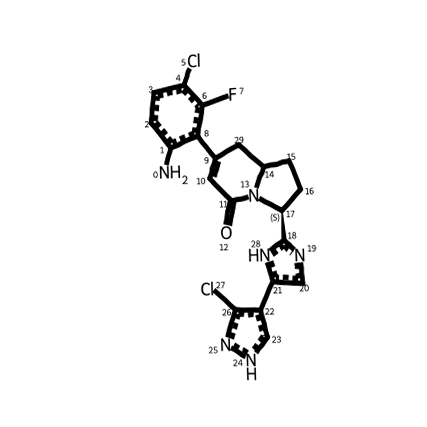 Nc1ccc(Cl)c(F)c1C1=CC(=O)N2C(CC[C@H]2c2ncc(-c3c[nH]nc3Cl)[nH]2)C1